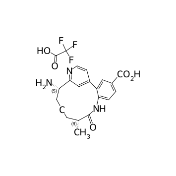 C[C@@H]1CCC[C@H](N)c2cc(ccn2)-c2cc(C(=O)O)ccc2NC1=O.O=C(O)C(F)(F)F